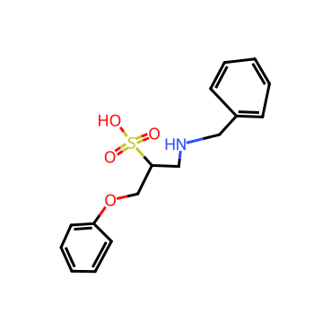 O=S(=O)(O)C(CNCc1ccccc1)COc1ccccc1